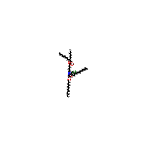 CCCCCCCCCCCCOCC(CN(CCCl)CCCCCC(=O)OCC(CCCCCC)CCCCCCCC)OCCCCCCCCCCCC